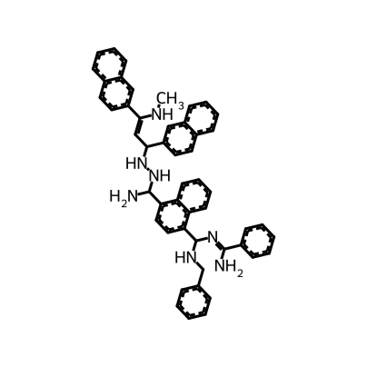 CN/C(=C\C(NNC(N)c1ccc(C(/N=C(\N)c2ccccc2)NCc2ccccc2)c2ccccc12)c1ccc2ccccc2c1)c1ccc2ccccc2c1